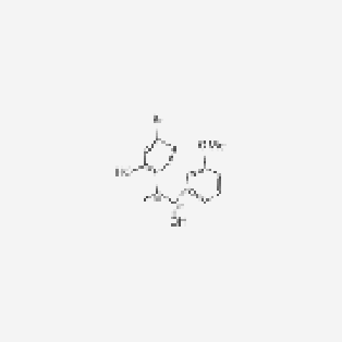 COc1cccc([C@H](O)[C@@H](C)c2ccc(Br)cc2O)c1